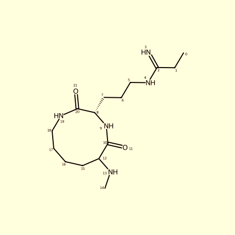 CCC(=N)NCCC[C@@H]1NC(=O)C(NC)CCCCNC1=O